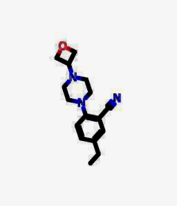 CCc1ccc(N2CCN(C3COC3)CC2)c(C#N)c1